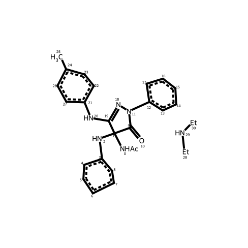 CC(=O)NC1(Nc2ccccc2)C(=O)N(c2ccccc2)N=C1Nc1ccc(C)cc1.CCNCC